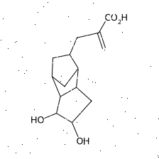 C=C(CC1CC2CC1C1CC(O)C(O)C21)C(=O)O